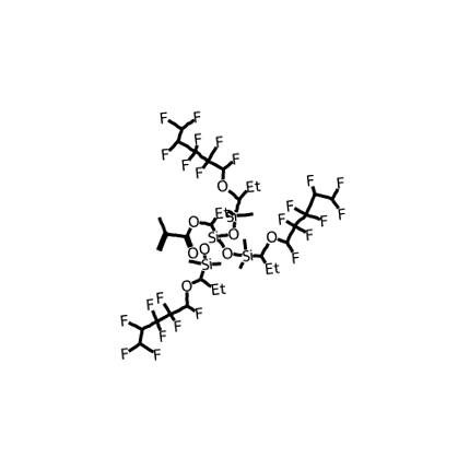 C=C(C)C(=O)OC(CC)[Si](O[Si](C)(C)C(CC)OC(F)C(F)(F)C(F)(F)C(F)C(F)F)(O[Si](C)(C)C(CC)OC(F)C(F)(F)C(F)(F)C(F)C(F)F)O[Si](C)(C)C(CC)OC(F)C(F)(F)C(F)(F)C(F)C(F)F